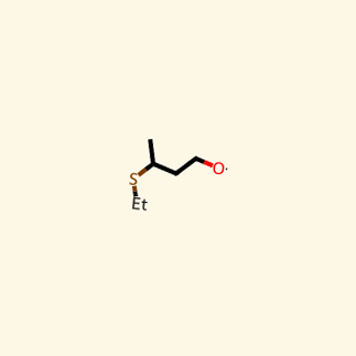 CCSC(C)CC[O]